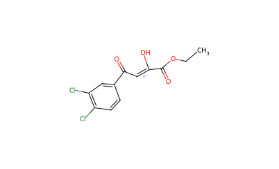 CCOC(=O)/C(O)=C/C(=O)c1ccc(Cl)c(Cl)c1